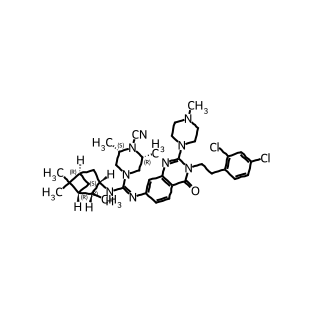 C[C@H]1[C@@H](NC(=Nc2ccc3c(=O)n(CCc4ccc(Cl)cc4Cl)c(N4CCN(C)CC4)nc3c2)N2C[C@@H](C)N(C#N)[C@@H](C)C2)C[C@H]2C[C@H]1C2(C)C